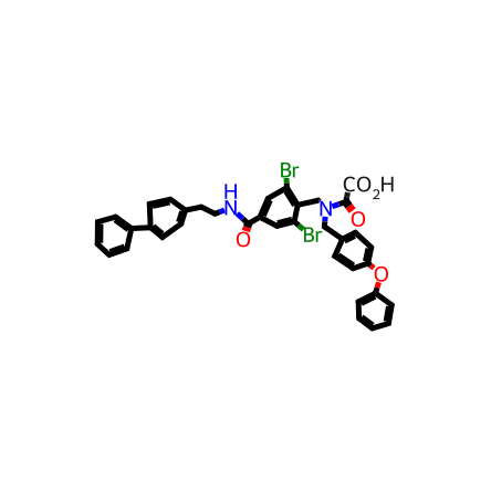 O=C(O)C(=O)N(Cc1ccc(Oc2ccccc2)cc1)Cc1c(Br)cc(C(=O)NCCc2ccc(-c3ccccc3)cc2)cc1Br